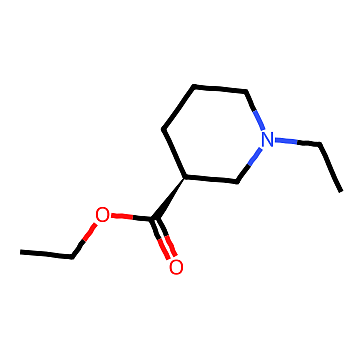 CCOC(=O)[C@H]1CCCN(CC)C1